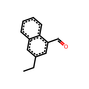 CCc1cc([C]=O)c2ccccc2c1